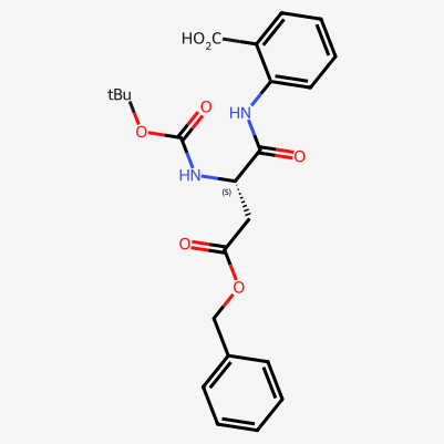 CC(C)(C)OC(=O)N[C@@H](CC(=O)OCc1ccccc1)C(=O)Nc1ccccc1C(=O)O